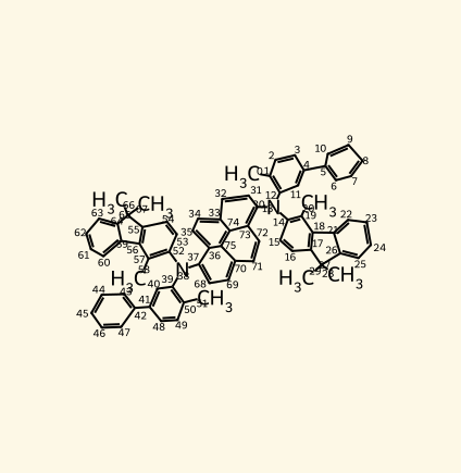 Cc1ccc(-c2ccccc2)cc1N(c1ccc2c(c1C)-c1ccccc1C2(C)C)c1ccc2ccc3c(N(c4cc(-c5ccccc5)ccc4C)c4ccc5c(c4C)-c4ccccc4C5(C)C)ccc4ccc1c2c43